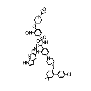 CC1(C)CCC(CN2CCN(c3ccc(C(=O)NS(=O)(=O)c4ccc(OC5CCN(C6COC6)CC5)c(N=O)c4)c(-n4ncc5nc6[nH]ccc6cc54)c3)CC2)=C(c2ccc(Cl)cc2)C1